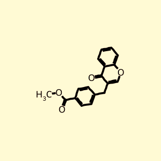 COC(=O)c1ccc(Cc2coc3ccccc3c2=O)cc1